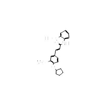 COc1cc(/C=C/C(=O)Nc2ccccc2C(=O)O)ccc1OC1CCCC1